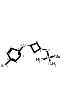 CC(C)(C)[Si](C)(C)O[C@H]1C[C@H](Oc2ccc(Br)cc2)C1